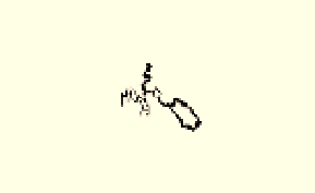 C=C/C=C(\NO)OCc1ccccc1